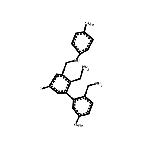 COc1ccc(NCc2cc(F)cc(-c3cc(OC)c[c]c3CN)c2CN)cc1